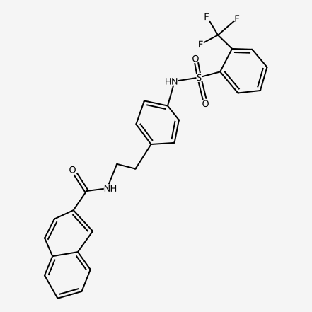 O=C(NCCc1ccc(NS(=O)(=O)c2ccccc2C(F)(F)F)cc1)c1ccc2ccccc2c1